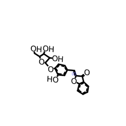 O=C1/C(=C/c2ccc(OC3OC(CO)C(O)C3O)c(O)c2)Oc2ccccc21